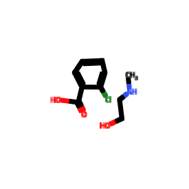 CNCCO.O=C(O)c1ccccc1Cl